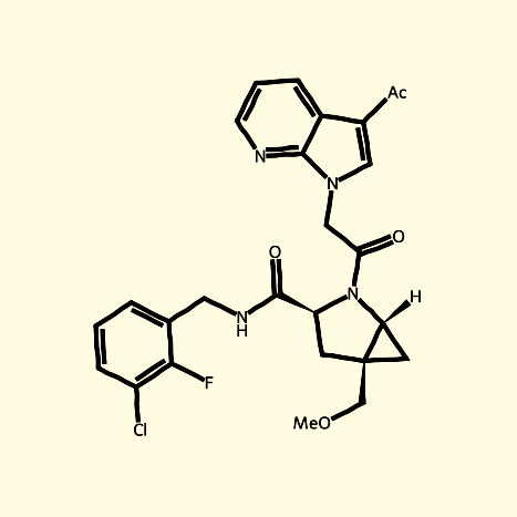 COC[C@@]12C[C@@H](C(=O)NCc3cccc(Cl)c3F)N(C(=O)Cn3cc(C(C)=O)c4cccnc43)[C@@H]1C2